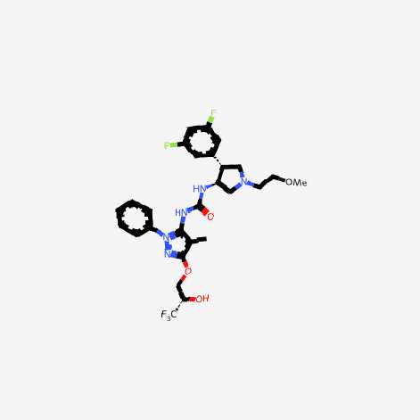 COCCN1C[C@@H](NC(=O)Nc2c(C)c(OC[C@H](O)C(F)(F)F)nn2-c2ccccc2)[C@H](c2cc(F)cc(F)c2)C1